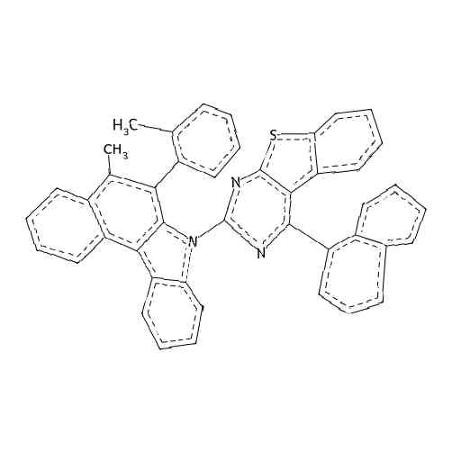 Cc1ccccc1-c1c(C)c2ccccc2c2c3ccccc3n(-c3nc(-c4cccc5ccccc45)c4c(n3)sc3ccccc34)c12